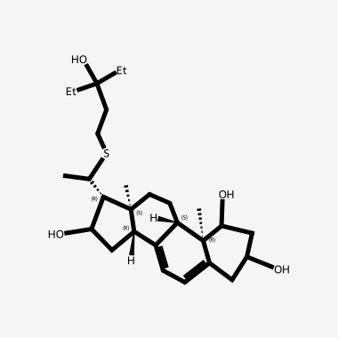 CCC(O)(CC)CCSC(C)[C@H]1C(O)C[C@H]2C3=CC=C4CC(O)CC(O)[C@]4(C)[C@H]3CC[C@]12C